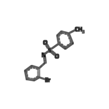 Cc1ccc(S(=O)(=O)/N=C/c2ccccc2Br)cc1